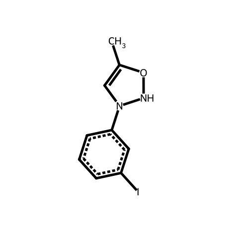 CC1=CN(c2cccc(I)c2)NO1